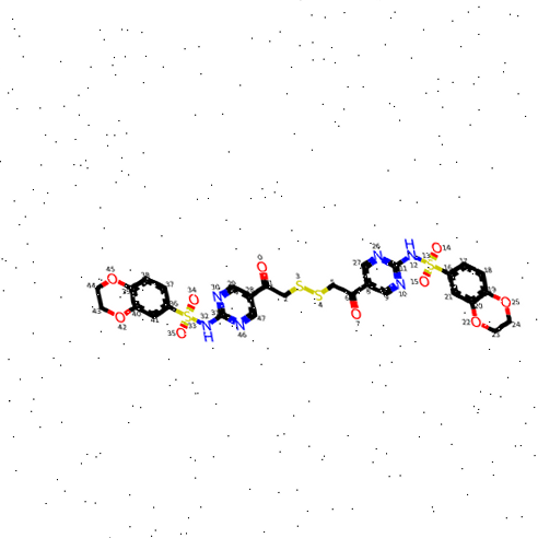 O=C(CSSCC(=O)c1cnc(NS(=O)(=O)c2ccc3c(c2)OCCO3)nc1)c1cnc(NS(=O)(=O)c2ccc3c(c2)OCCO3)nc1